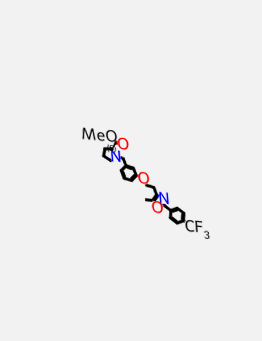 COC(=O)[C@@H]1CCCN1Cc1cccc(OCCc2nc(-c3ccc(C(F)(F)F)cc3)oc2C)c1